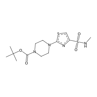 CNS(=O)(=O)c1csc(N2CCN(C(=O)OC(C)(C)C)CC2)n1